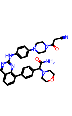 N#CCC(=O)N1CCN(c2ccc(Nc3ncc4cccc(-c5ccc(C(C(N)=O)N6CCOCC6)cc5)c4n3)cc2)CC1